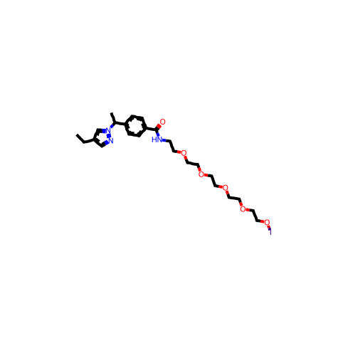 CCc1cnn(C(C)c2ccc(C(=O)NCCOCCOCCOCCOCCOI)cc2)c1